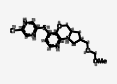 COCOCC1CC2COc3c(Sc4cnc(Cl)cn4)ccnc3N2C1